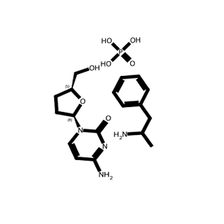 CC(N)Cc1ccccc1.Nc1ccn([C@H]2CC[C@@H](CO)O2)c(=O)n1.O=P(O)(O)O